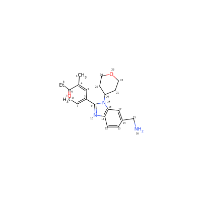 C/C=C(\C=C(\C)C(=O)CC)c1nc2ccc(CN)cc2n1C1CCOCC1